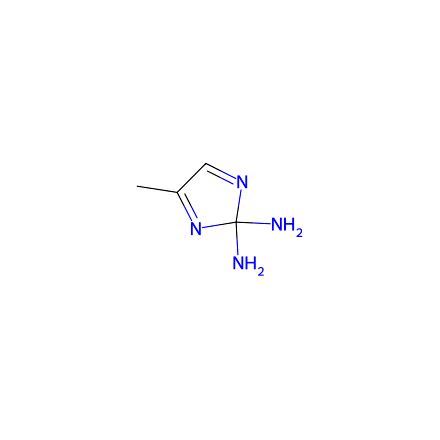 CC1=NC(N)(N)N=C1